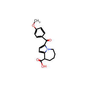 COc1ccc(C(=O)c2ccc3n2CCCCC3C(=O)O)cc1